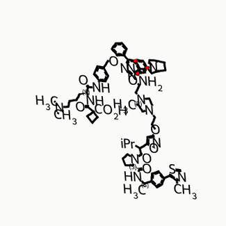 Cc1ncsc1-c1ccc([C@H](C)NC(=O)[C@@H]2CCCN2C(=O)C(c2cc(OCCN3CCN(CCOc4cc(N5C6CCC5CN(c5cc(-c7ccccc7OCc7ccc(NC(=O)[C@H](CCCCN(C)C)NC(=O)C8(C(=O)O)CCC8)cc7)nnc5N)C6)ccn4)[C@H](C)C3)no2)C(C)C)cc1